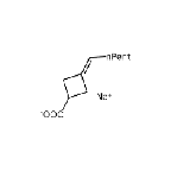 CCCCCC=C1CC(C(=O)[O-])C1.[Na+]